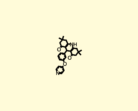 CC1(C)CC(=O)C2=C(C1)NC1=C(C(=O)CC(C)(C)C1)C2c1cccc(Oc2ccncc2)c1